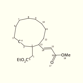 CCOC(=O)CC1CCCCCCCCCCC1/C=C/C(=O)OC